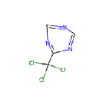 ClC(Cl)(Cl)c1ncncn1